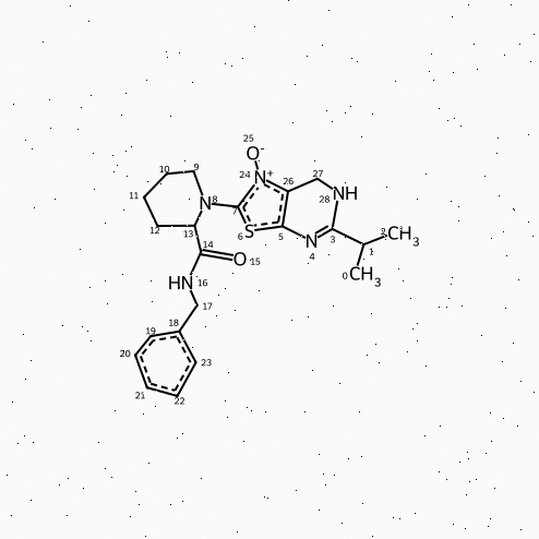 CC(C)C1=Nc2sc(N3CCCCC3C(=O)NCc3ccccc3)[n+]([O-])c2CN1